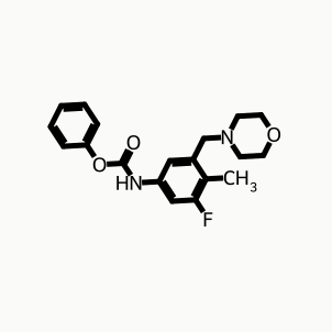 Cc1c(F)cc(NC(=O)Oc2ccccc2)cc1CN1CCOCC1